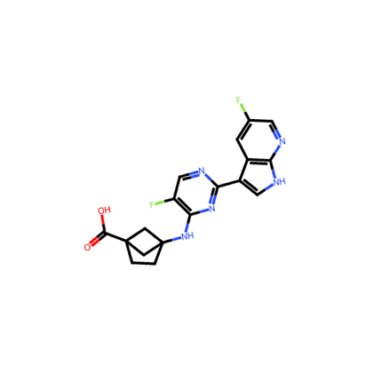 O=C(O)C12CCC(Nc3nc(-c4c[nH]c5ncc(F)cc45)ncc3F)(C1)C2